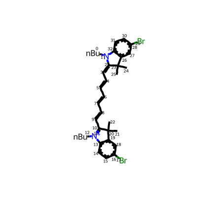 CCCCN1/C(=C/C=C/C=C/C=C/C2=[N+](CCCC)c3ccc(Br)cc3C2(C)C)C(C)(C)c2cc(Br)ccc21